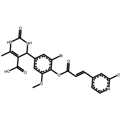 COc1cc(C2NC(=O)NC(C)=C2C(=O)O)cc(Br)c1OC(=O)C=Cc1ccnc(Cl)c1